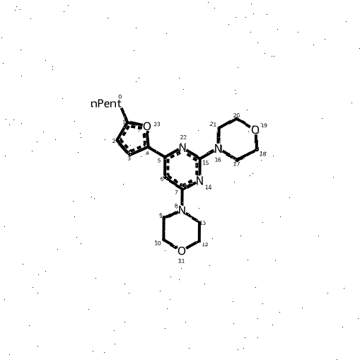 CCCCCc1ccc(-c2cc(N3CCOCC3)nc(N3CCOCC3)n2)o1